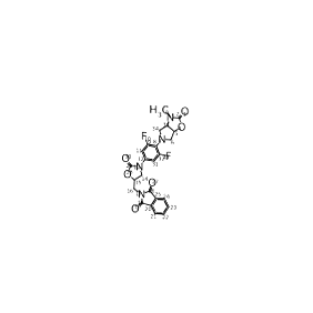 CN1C(=O)OC2CN(c3c(F)cc(N4CC(CN5C(=O)c6ccccc6C5=O)OC4=O)cc3F)CC21